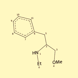 CCNC(COC)Cc1ccccc1